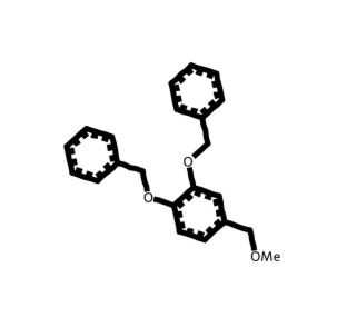 [CH2]OCc1ccc(OCc2ccccc2)c(OCc2ccccc2)c1